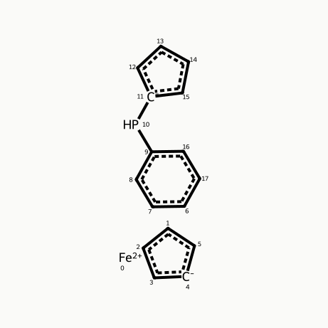 [Fe+2].c1cc[cH-]c1.c1ccc(P[c-]2cccc2)cc1